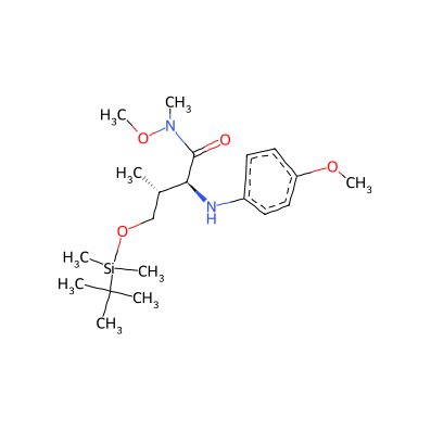 COc1ccc(N[C@H](C(=O)N(C)OC)[C@@H](C)CO[Si](C)(C)C(C)(C)C)cc1